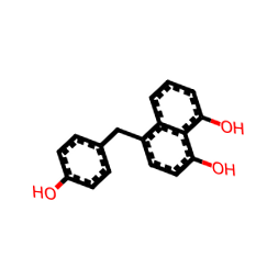 Oc1ccc(Cc2ccc(O)c3c(O)cccc23)cc1